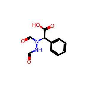 O=CNN(C=O)[C@@H](C(=O)O)c1ccccc1